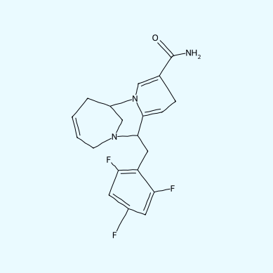 NC(=O)C1=CN2C(=CC1)C(Cc1c(F)cc(F)cc1F)N1CC=CCC2C1